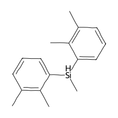 Cc1cccc([SiH](C)c2cccc(C)c2C)c1C